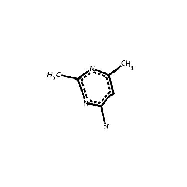 Cc1cc(Br)nc(C)n1